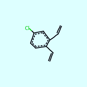 C=Cc1ccc(Cl)cc1C=C